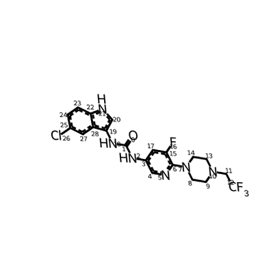 O=C(Nc1cnc(N2CCN(CC(F)(F)F)CC2)c(F)c1)Nc1c[nH]c2ccc(Cl)cc12